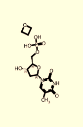 C1COC1.Cc1cn([C@H]2C[C@H](O)[C@@H](COP(=O)(O)O)O2)c(=O)[nH]c1=O